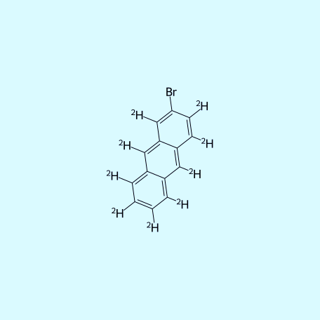 [2H]c1c([2H])c([2H])c2c([2H])c3c([2H])c(Br)c([2H])c([2H])c3c([2H])c2c1[2H]